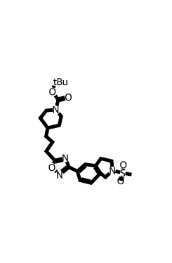 CC(C)(C)OC(=O)N1CCC(CCCc2nc(-c3ccc4c(c3)CCN(S(C)(=O)=O)C4)no2)CC1